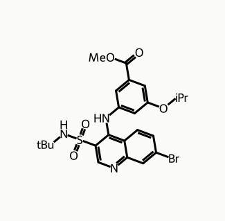 COC(=O)c1cc(Nc2c(S(=O)(=O)NC(C)(C)C)cnc3cc(Br)ccc23)cc(OC(C)C)c1